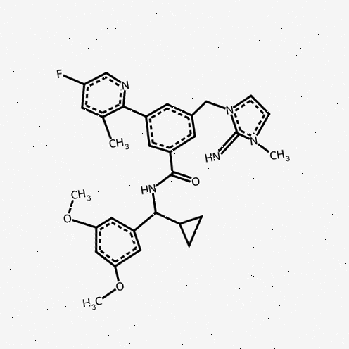 COc1cc(OC)cc(C(NC(=O)c2cc(Cn3ccn(C)c3=N)cc(-c3ncc(F)cc3C)c2)C2CC2)c1